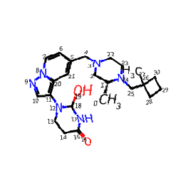 C[C@H]1CN(Cc2ccn3ncc(N4CCC(=O)NC4O)c3c2)CCN1CC1(C)CCC1